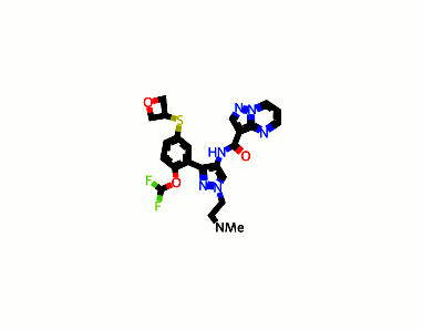 CNCCn1cc(NC(=O)c2cnn3cccnc23)c(-c2cc(SC3COC3)ccc2OC(F)F)n1